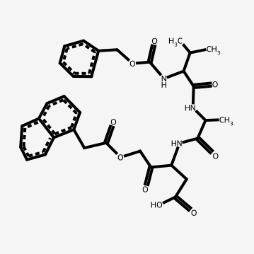 CC(NC(=O)C(NC(=O)OCc1ccccc1)C(C)C)C(=O)NC(CC(=O)O)C(=O)COC(=O)Cc1cccc2ccccc12